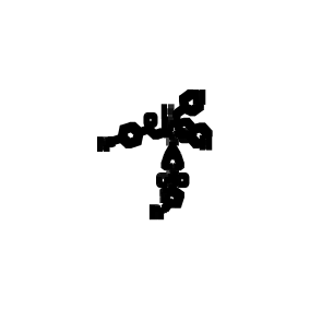 N#Cc1ccc(C(=O)C=C2NC(Cc3ccncc3)(Cc3ccncc3)C(=O)N2C2C3CN(S(=O)(=O)c4ccc(Br)s4)CC32)cc1